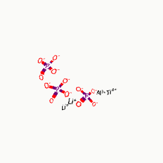 O=P([O-])([O-])[O-].O=P([O-])([O-])[O-].O=P([O-])([O-])[O-].[Al+3].[Li+].[Li+].[Ti+4]